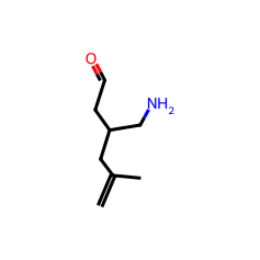 C=C(C)CC(CN)CC=O